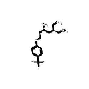 CC[C@H](CN)C[C@H](C)CCOc1ccc(C(F)(F)F)cc1